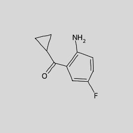 Nc1ccc(F)cc1C(=O)C1CC1